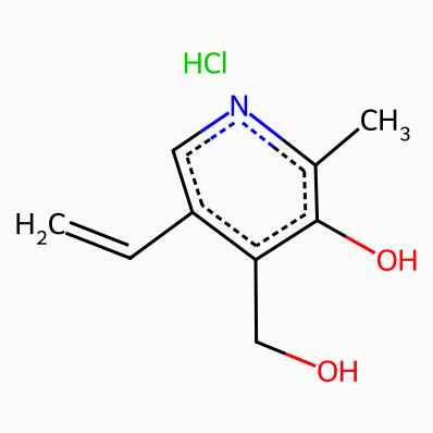 C=Cc1cnc(C)c(O)c1CO.Cl